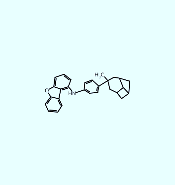 CC1(c2ccc(Nc3cccc4oc5ccccc5c34)cc2)CC2CC3CC(C1)C32